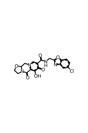 O=C(NCc1nc2cc(Cl)ccc2o1)c1cn2c(c(O)c1=O)C(=O)N1CCOC1C2